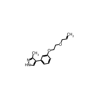 C=CCOCCOc1[c]ccc(-c2c[nH]nc2C)c1